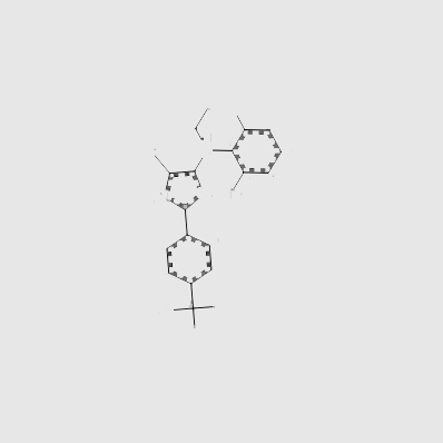 CC[SH](c1sc(-c2ccc(C(F)(F)F)cc2)nc1C)c1c(F)cccc1Cl